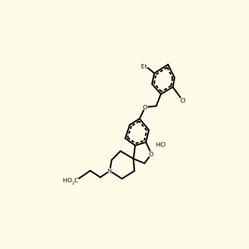 CCc1ccc(Cl)c(COc2ccc3c(c2)OCC32CCN(CCC(=O)O)CC2)c1.Cl